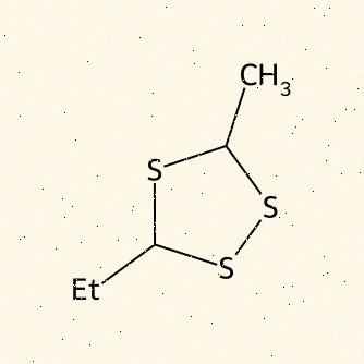 CCC1SSC(C)S1